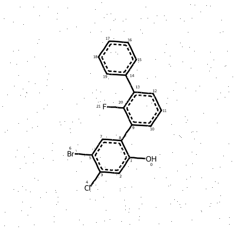 Oc1cc(Cl)c(Br)cc1-c1cccc(-c2ccccc2)c1F